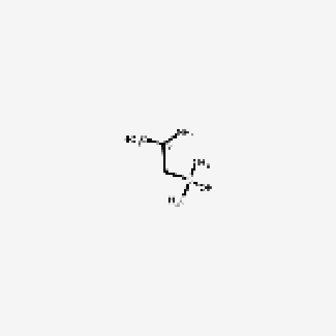 C[Si](C)(O)C[C@H](N)C(=O)O